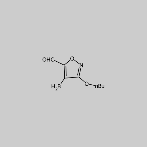 Bc1c(OCCCC)noc1C=O